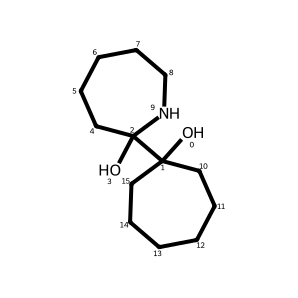 OC1(C2(O)CCCCCN2)CCCCCC1